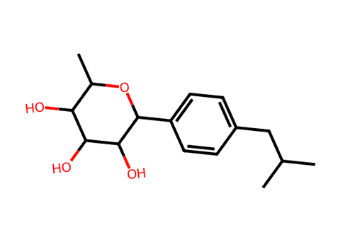 CC(C)Cc1ccc(C2OC(C)C(O)C(O)C2O)cc1